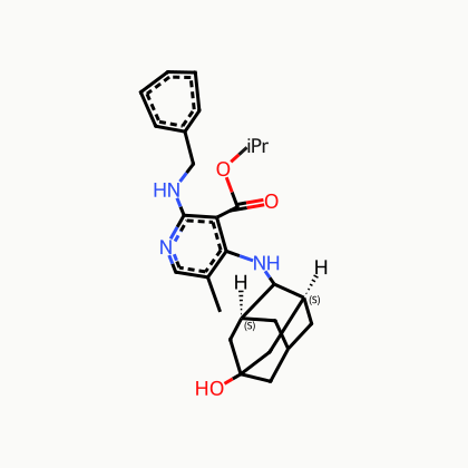 Cc1cnc(NCc2ccccc2)c(C(=O)OC(C)C)c1NC1[C@H]2CC3C[C@H]1CC(O)(C3)C2